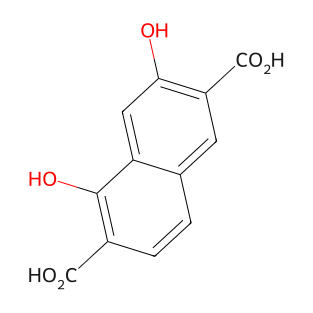 O=C(O)c1cc2ccc(C(=O)O)c(O)c2cc1O